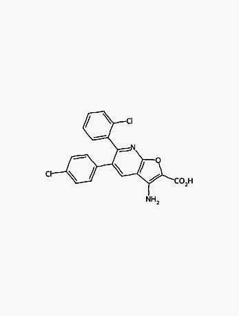 Nc1c(C(=O)O)oc2nc(-c3ccccc3Cl)c(-c3ccc(Cl)cc3)cc12